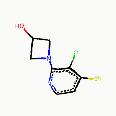 OC1CN(c2nccc(S)c2Cl)C1